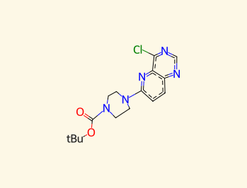 CC(C)(C)OC(=O)N1CCN(c2ccc3ncnc(Cl)c3n2)CC1